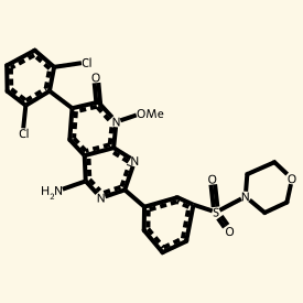 COn1c(=O)c(-c2c(Cl)cccc2Cl)cc2c(N)nc(-c3cccc(S(=O)(=O)N4CCOCC4)c3)nc21